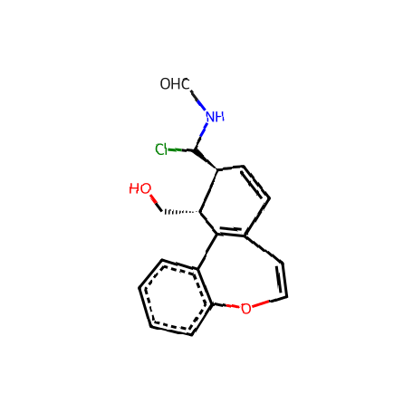 O=CNC(Cl)[C@H]1C=CC2=C(c3ccccc3OC=C2)[C@@H]1CO